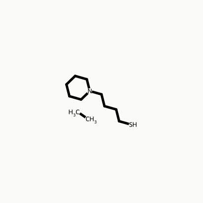 CC.SCCCCN1CCCCC1